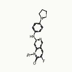 CC(C)n1c(=O)c(F)cc2cnc(Nc3ccc(N4CCCC4)cc3)cc21